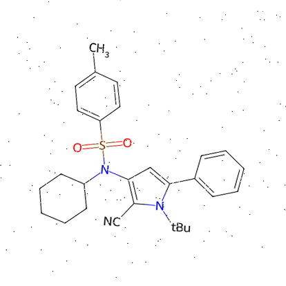 Cc1ccc(S(=O)(=O)N(c2cc(-c3ccccc3)n(C(C)(C)C)c2C#N)C2CCCCC2)cc1